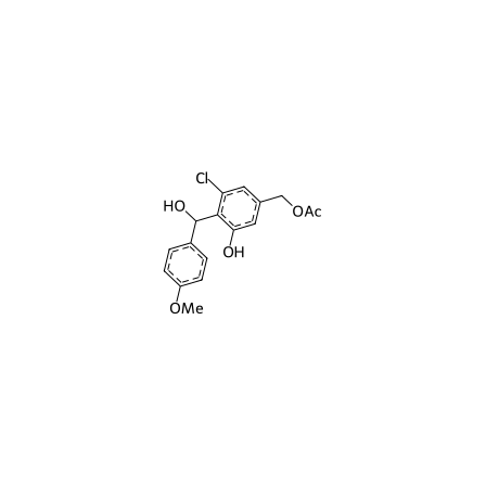 COc1ccc(C(O)c2c(O)cc(COC(C)=O)cc2Cl)cc1